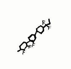 CCC(F)(F)C1CCC(c2ccc(C3CCC(C)C(F)C3F)c(F)c2)CC1